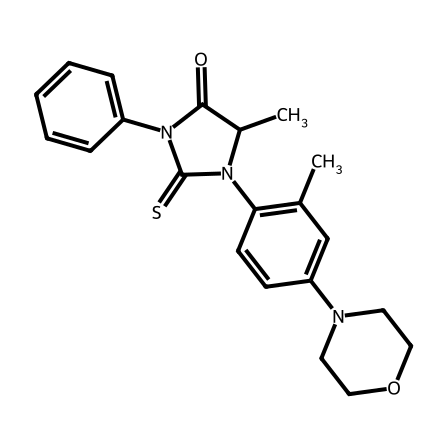 Cc1cc(N2CCOCC2)ccc1N1C(=S)N(c2ccccc2)C(=O)C1C